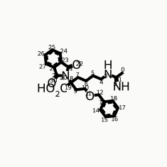 CC(=N)NCCCCC(CCOCc1ccccc1)(C(=O)O)N1C(=O)c2ccccc2C1=O